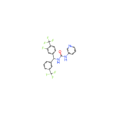 O=C(Nc1cccnc1)NC(c1cccc(C(F)(F)F)c1)c1ccc(C(F)(F)F)c(F)c1